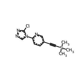 C[Si](C)(C)C#Cc1ccc(-n2cnnc2Cl)nc1